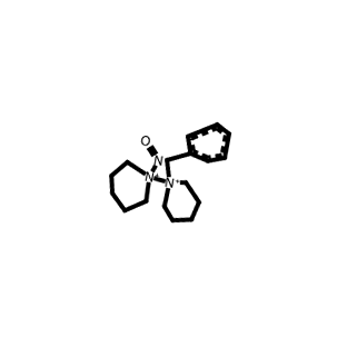 O=N[N+]1([N+]2(Cc3ccccc3)CCCCC2)CCCCC1